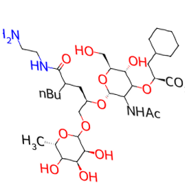 CCCCC(C[C@H](COC1O[C@@H](C)C(O)[C@H](O)[C@@H]1O)O[C@@H]1O[C@@H](CO)[C@H](O)C(O[C@@H](CC2CCCCC2)C(=O)O)C1NC(C)=O)C(=O)NCCN